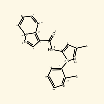 Cc1cc(NC(=O)c2cnn3cccnc23)n(-c2ccccc2C)n1